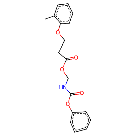 Cc1ccccc1OCCC(=O)OCNC(=O)Oc1ccccc1